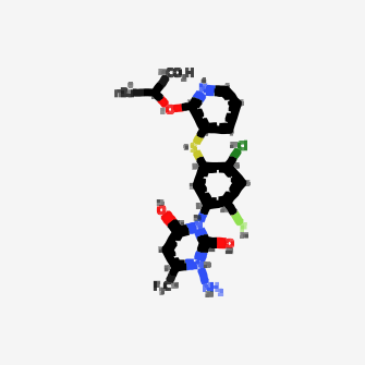 CCCCC(Oc1ncccc1Sc1cc(-n2c(=O)cc(C(F)(F)F)n(N)c2=O)c(F)cc1Cl)C(=O)O